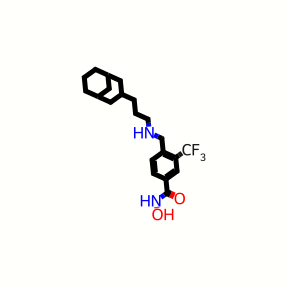 O=C(NO)c1ccc(CNCCCC2CC3CCCC(C2)C3)c(C(F)(F)F)c1